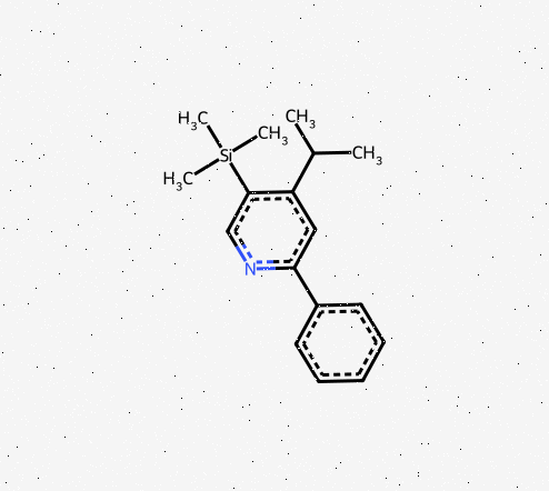 CC(C)c1cc(-c2ccccc2)ncc1[Si](C)(C)C